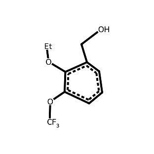 CCOc1c(CO)cccc1OC(F)(F)F